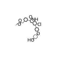 CCOC(=O)Cc1cccc(-c2cc3cc(-c4ccc(OC5CCC(O)CC5)cc4)c(Cl)cc3[nH]c2=O)c1